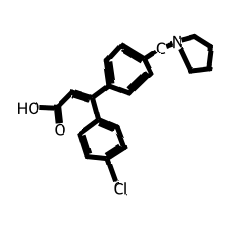 O=C(O)/C=C(\c1ccc(Cl)cc1)c1ccc(CN2CCCC2)cc1